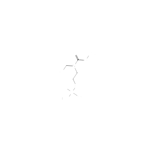 CC(C)(C)OC(=O)N(CO)CCO[Si](C)(C)C(C)(C)C